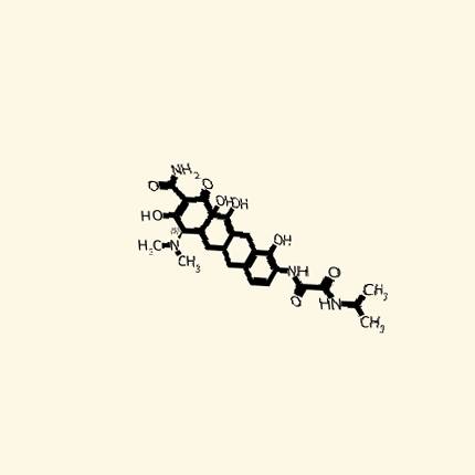 CC(C)NC(=O)C(=O)Nc1ccc2c(c1O)CC1=C(O)C3(O)C(=O)C(C(N)=O)=C(O)[C@@H](N(C)C)C3CC1C2